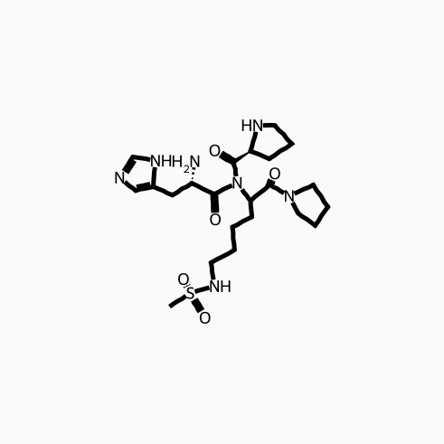 CS(=O)(=O)NCCCCC(C(=O)N1CCCC1)N(C(=O)[C@@H]1CCCN1)C(=O)[C@@H](N)Cc1cnc[nH]1